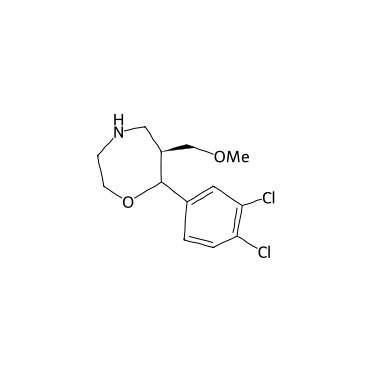 COC[C@@H]1CNCCOC1c1ccc(Cl)c(Cl)c1